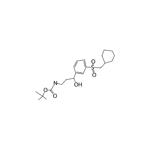 CC(C)(C)OC(=O)[N]CCC(O)c1cccc(S(=O)(=O)CC2CCCCC2)c1